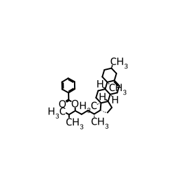 CC(C)C(CC[C@@H](C)[C@H]1CC[C@H]2[C@@H]3CC=C4C[C@H](C)CC[C@]4(C)[C@H]3CC[C@]12C)OC(=O)c1ccccc1